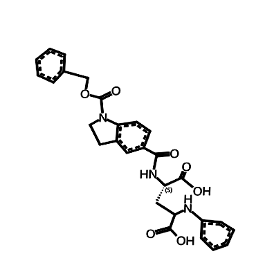 O=C(N[C@@H](CC(Nc1ccccc1)C(=O)O)C(=O)O)c1ccc2c(c1)CCN2C(=O)OCc1ccccc1